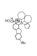 CC(C)(C)c1ccc2c(c1)Cc1c-2ccc(C(C)(C)C)[c]1[Zr](=[SiH2])([C]1=CC=CC1)([CH]1CCCCCC1)[CH]1CCCCCC1.Cl.Cl